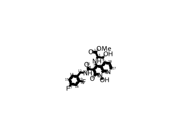 COC(=O)C(CO)Nc1c(C(=O)NCc2ccc(F)cc2F)c(=O)n(O)c2ncccc12